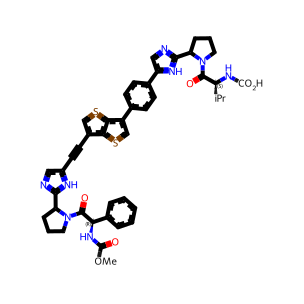 COC(=O)N[C@@H](C(=O)N1CCCC1c1ncc(C#Cc2csc3c(-c4ccc(-c5cnc(C6CCCN6C(=O)[C@@H](NC(=O)O)C(C)C)[nH]5)cc4)csc23)[nH]1)c1ccccc1